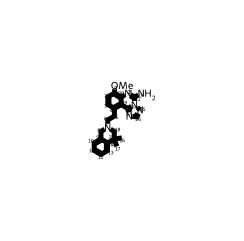 COc1ccc(CCN2Cc3ccccc3C(C)(C)C2)c2c1nc(N)n1ncnc21